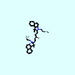 CC(=O)OCCN1/C(=C/C=C(Br)/C=C/C2=[N+](CCOC(C)=O)c3ccc4ccccc4c3C2(C)C)C(C)(C)c2c1ccc1ccccc21